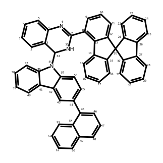 c1ccc2c(c1)N=C(c1cccc3c1-c1ccccc1C31c3ccccc3-c3ccccc31)NC2n1c2ccccc2c2cc(-c3cccc4ccccc34)ccc21